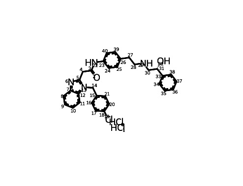 Cl.Cl.O=C(Cc1nc2ccccc2n1Cc1ccc(Cl)cc1)Nc1ccc(CCNC[C@H](O)c2ccccc2)cc1